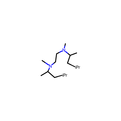 CC(C)CC(C)N(C)CCN(C)C(C)CC(C)C